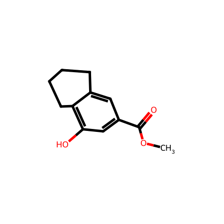 COC(=O)c1cc(O)c2c(c1)CCCC2